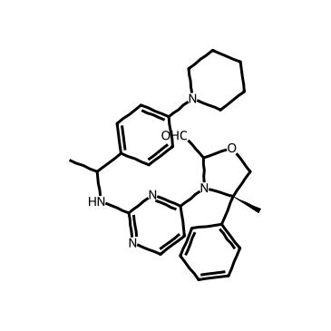 CC(Nc1nccc(N2C(C=O)OC[C@]2(C)c2ccccc2)n1)c1ccc(N2CCCCC2)cc1